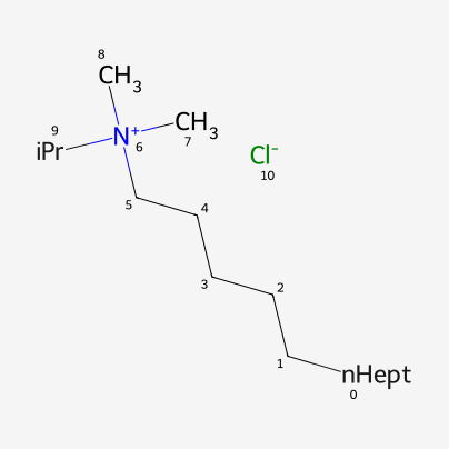 CCCCCCCCCCCC[N+](C)(C)C(C)C.[Cl-]